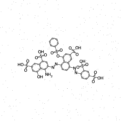 Nc1c(N=Nc2ccc(N=Nc3ccc(S(=O)(=O)O)cc3S(=O)(=O)O)c3cc(S(=O)(=O)O)cc(OS(=O)(=O)c4ccccc4)c23)cc(S(=O)(=O)O)c2cc(S(=O)(=O)O)cc(O)c12